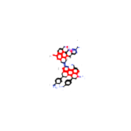 CC(N)c1ccc(C(CC(CC(CC(c2ccc(C(C)N)cc2)C(C)C)c2ccc(C(C)N)cc2)c2ccc(C(CC(CC(c3ccc(C(C)N)cc3)C(C)C)c3ccc(C(C)N)cc3)CC(CC(c3ccc(C(C)N)cc3)C(C)C)c3ccc(C(C)N)cc3)cc2)CC(c2ccc(C(C)N)cc2)C(C)C)cc1